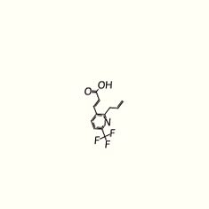 C=CCc1nc(C(F)(F)F)ccc1C=CC(=O)O